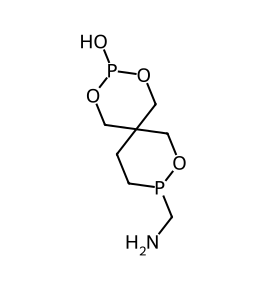 NCP1CCC2(CO1)COP(O)OC2